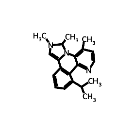 Cc1ccnc2c1N1C(=CN(C)C1C)c1cccc(C(C)C)c1-2